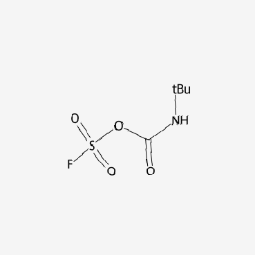 CC(C)(C)NC(=O)OS(=O)(=O)F